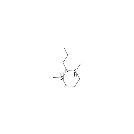 CCCN1[SiH](C)CCC[SiH]1C